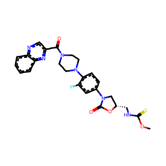 COC(=S)NC[C@H]1CN(c2ccc(N3CCN(C(=O)c4cnc5ccccc5n4)CC3)c(F)c2)C(=O)O1